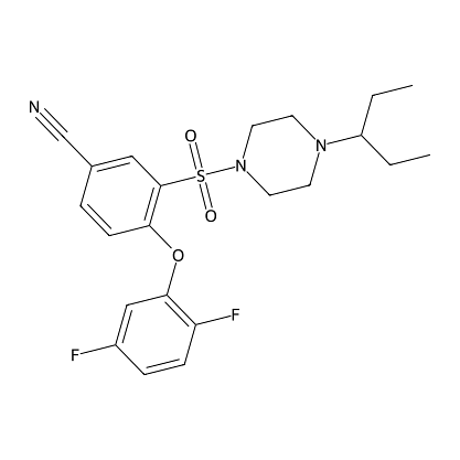 CCC(CC)N1CCN(S(=O)(=O)c2cc(C#N)ccc2Oc2cc(F)ccc2F)CC1